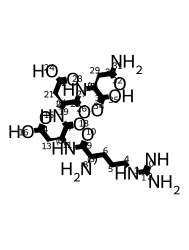 N=C(N)NCCC[C@H](N)C(=O)N[C@@H](CC(=O)O)C(=O)N[C@@H](CC(=O)O)C(=O)N[C@@H](CC(N)=O)C(=O)O